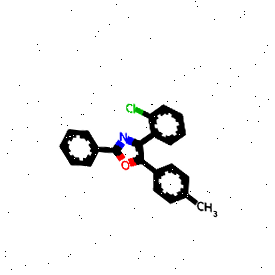 Cc1ccc(-c2oc(-c3ccccc3)nc2-c2ccccc2Cl)cc1